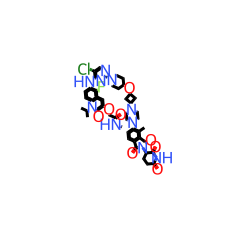 CNC(=O)COc1cc2c(F)c(Nc3nc(N4CCC(OC5CC(N6CCN(c7ccc8c(c7C)C(=O)N(C7CCC(=O)NC7=O)C8=O)CC6)C5)CC4)ncc3Cl)ccc2n(C(C)C)c1=O